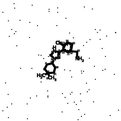 CC1(C)CCC(N2CNC(c3cc(CN)ccc3Cl)=N2)CC1